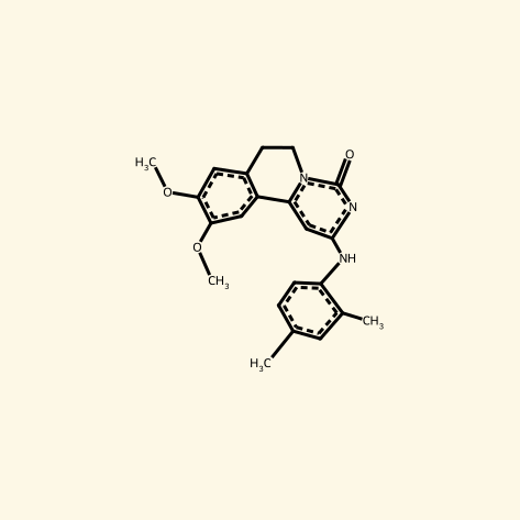 COc1cc2c(cc1OC)-c1cc(Nc3ccc(C)cc3C)nc(=O)n1CC2